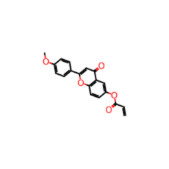 C=CC(=O)Oc1ccc2oc(-c3ccc(OC)cc3)cc(=O)c2c1